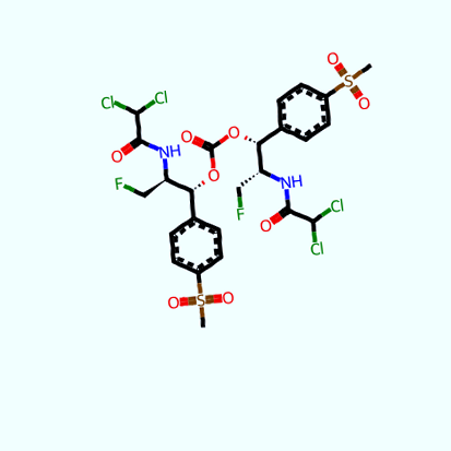 CS(=O)(=O)c1ccc([C@@H](OC(=O)O[C@H](c2ccc(S(C)(=O)=O)cc2)[C@@H](CF)NC(=O)C(Cl)Cl)[C@@H](CF)NC(=O)C(Cl)Cl)cc1